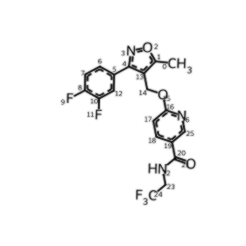 Cc1onc(-c2ccc(F)c(F)c2)c1COc1ccc(C(=O)NCC(F)(F)F)cn1